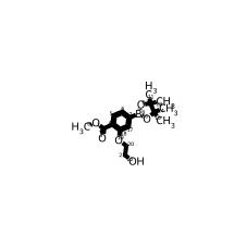 COC(=O)c1ccc(B2OC(C)(C)C(C)(C)O2)cc1OCCO